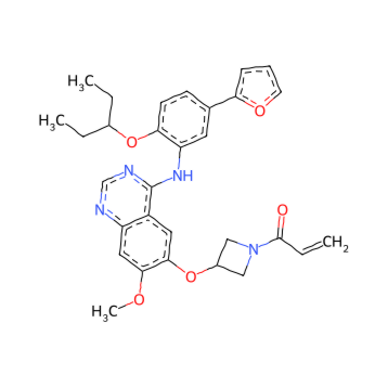 C=CC(=O)N1CC(Oc2cc3c(Nc4cc(-c5ccco5)ccc4OC(CC)CC)ncnc3cc2OC)C1